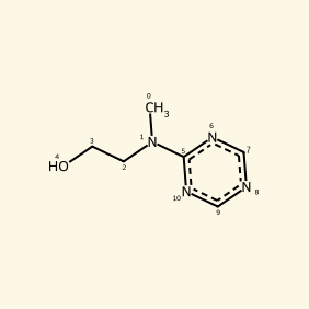 CN(CCO)c1n[c]ncn1